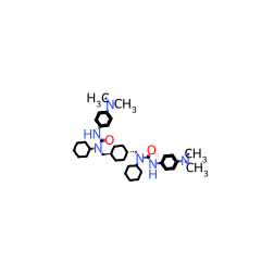 CN(C)c1ccc(NC(=O)N(C[C@H]2CC[C@H](CN(C(=O)Nc3ccc(N(C)C)cc3)C3CCCCC3)CC2)C2CCCCC2)cc1